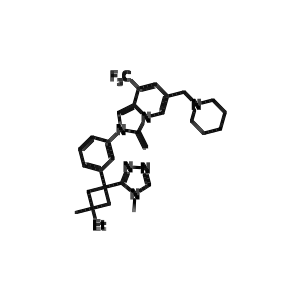 C=C1N2C=C(CN3CCCCC3)C=C(C(F)(F)F)C2=CN1c1cccc(C2(c3nncn3C)CC(C)(CC)C2)c1